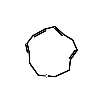 [C]1=C\C/C=C/CCCCC\C=C/C=C\1